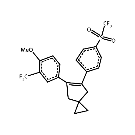 COc1ccc(C2=C(c3ccc(S(=O)(=O)C(F)(F)F)cc3)CC3(CC3)C2)cc1C(F)(F)F